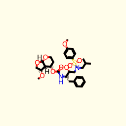 COc1ccc(S(=O)(=O)N(CC(C)C)C[C@@H](O)[C@H](Cc2ccccc2)NC(=O)O[C@H]2CCO[C@H]3OC[C@@H](OC)[C@H]32)cc1